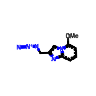 COc1cccc2nc(CN=[N+]=[N-])cn12